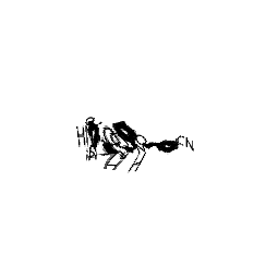 CC(C)[C@H](NC(=O)C[C@H](NC(=O)/C=C/c1cccc(C#N)c1)c1ccccc1)C(=O)[C@@H]1C(=O)NC(=O)[C@H]1C